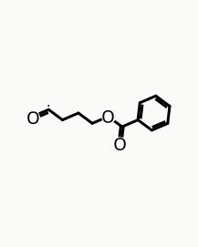 O=[C]CCCOC(=O)c1ccccc1